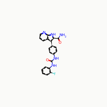 NC(=O)c1[nH]c2ncccc2c1-c1ccc(NC(=O)Nc2ccccc2F)cc1